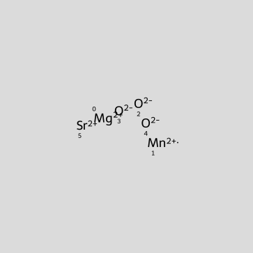 [Mg+2].[Mn+2].[O-2].[O-2].[O-2].[Sr+2]